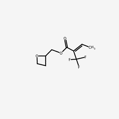 CC=C(C(=O)OCC1CCO1)C(F)(F)F